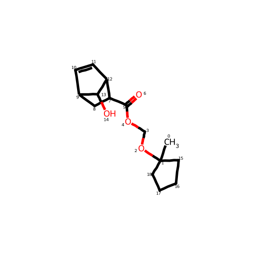 CC1(OCOC(=O)C2CC3C=CC2C3O)CCCC1